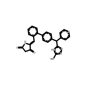 CCCCc1nnc(C(c2ccncc2)c2ccc(-c3ccccc3/C=C3\NC(=O)CC3=O)cc2)[nH]1